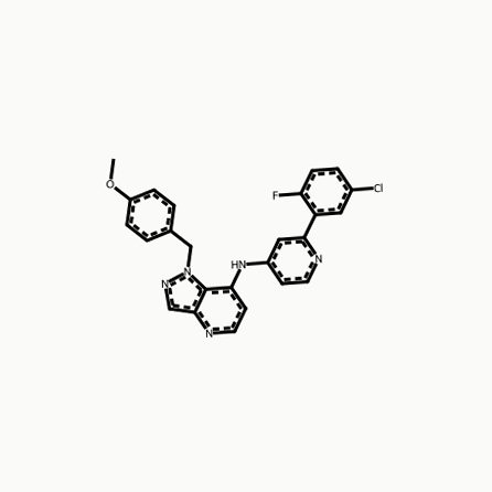 COc1ccc(Cn2ncc3nccc(Nc4ccnc(-c5cc(Cl)ccc5F)c4)c32)cc1